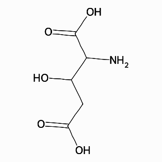 NC(C(=O)O)C(O)CC(=O)O